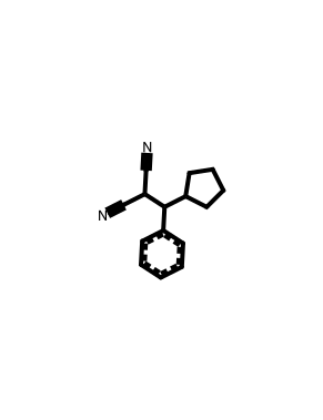 N#CC(C#N)C(c1ccccc1)C1CCCC1